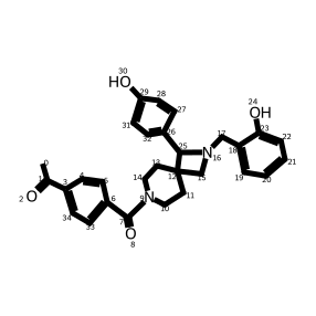 CC(=O)c1ccc(C(=O)N2CCC3(CC2)CN(Cc2ccccc2O)C3c2ccc(O)cc2)cc1